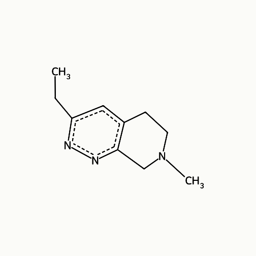 CCc1cc2c(nn1)CN(C)CC2